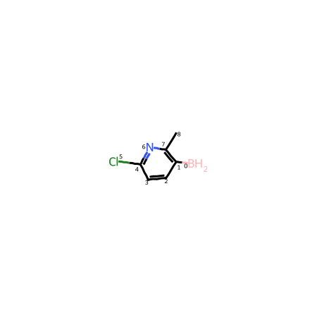 Bc1ccc(Cl)nc1C